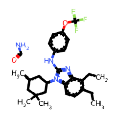 CCc1ccc2c(nc(Nc3ccc(OC(F)(F)F)cc3)n2C2CC(C)CC(C)(C)C2)c1CC.NC=O